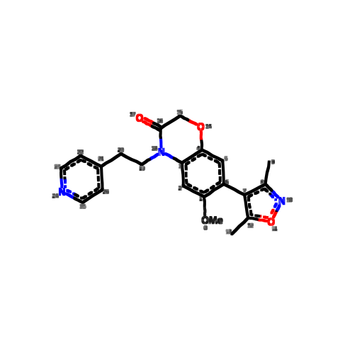 COc1cc2c(cc1-c1c(C)noc1C)OCC(=O)N2CCc1ccncc1